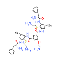 CC(C)(C)c1cc(NC(=O)c2cc(OCCN)cc(C(=O)Nc3cc(C(C)(C)C)cc(NC(=O)[C@H](N)Cc4ccccc4)c3SCCN)c2)c(SCCN)c(NC(=O)C(N)Cc2ccccc2)c1